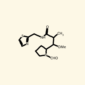 COC(C(C)C(=O)NCc1nccs1)C1CCCN1C=O